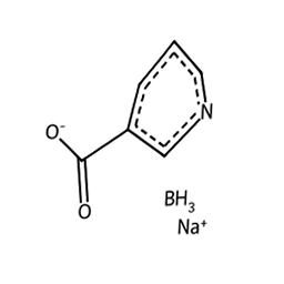 B.O=C([O-])c1cccnc1.[Na+]